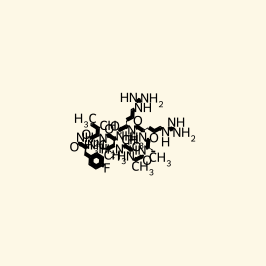 CC[C@H](NC(=O)[C@H](C)NC(=O)[C@H](C)N)C(=O)N[C@@H](CCCNC(=N)N)C(=O)N[C@@H](CCCNC(=N)N)C(=O)N[C@@H](CC(C)C)C(=O)N[C@H](C(=O)N[C@@H](Cc1ccc(F)cc1)C(N)=O)[C@@H](C)CC